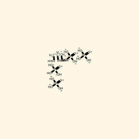 CCCCCCC.CCCCCCC.CCCCCCC.OP(O)(O)=S.OP(O)(O)=S.OP(O)(O)=S.OP(O)(O)=S